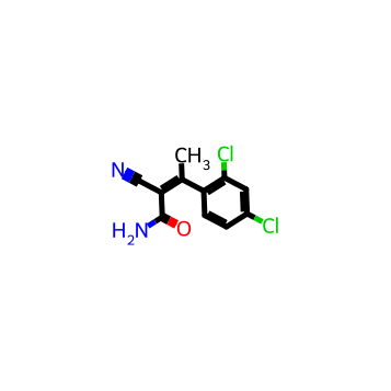 CC(=C(C#N)C(N)=O)c1ccc(Cl)cc1Cl